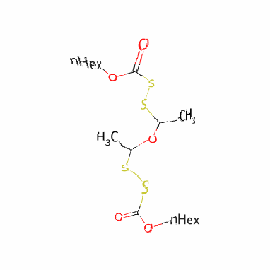 CCCCCCOC(=O)SSC(C)OC(C)SSC(=O)OCCCCCC